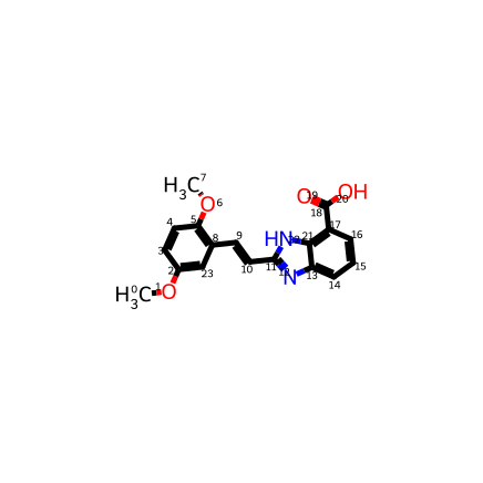 COc1ccc(OC)c(C=Cc2nc3cccc(C(=O)O)c3[nH]2)c1